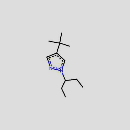 CCC(CC)n1cc(C(C)(C)C)cn1